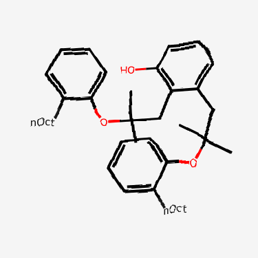 CCCCCCCCc1ccccc1OC(C)(C)Cc1cccc(O)c1CC(C)(C)Oc1ccccc1CCCCCCCC